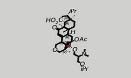 CC(=O)O[C@@H]1C[C@@]23COC[C@@](C)([C@@H]2CC[C@H]2C3=CC(=O)[C@@]3(C)[C@H](C(=O)O)[C@@](C)([C@H](C)C(C)C)CC[C@]23C)[C@H]1OCC(COC(C)C)N(C)C